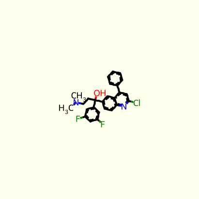 CN(C)CCC(O)(c1cc(F)cc(F)c1)c1ccc2nc(Cl)cc(-c3ccccc3)c2c1